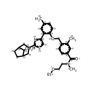 CCOCCN(C)C(=O)c1ccc(COc2ccc(C)cc2-c2csc(N3CC4CCC(C3)C4C(=O)O)n2)c(C)c1